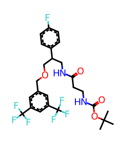 CC(C)(C)OC(=O)NCCC(=O)NCC(COCc1cc(C(F)(F)F)cc(C(F)(F)F)c1)c1ccc(F)cc1